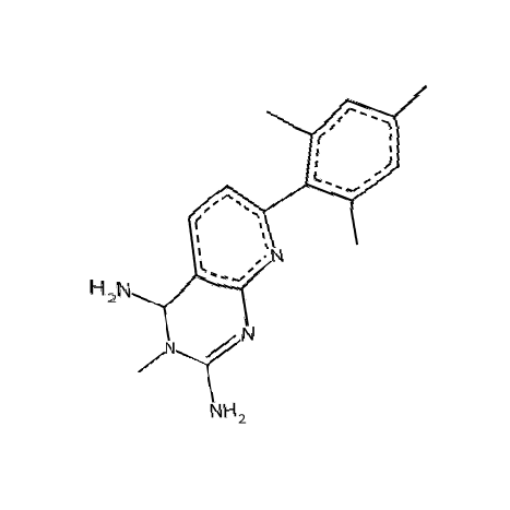 Cc1cc(C)c(-c2ccc3c(n2)N=C(N)N(C)C3N)c(C)c1